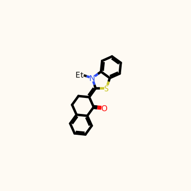 CCN1/C(=C2\CCc3ccccc3C2=O)Sc2ccccc21